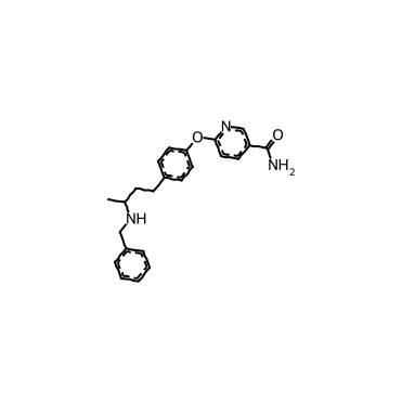 CC(CCc1ccc(Oc2ccc(C(N)=O)cn2)cc1)NCc1ccccc1